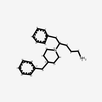 NCCCC(Cc1ccccc1)N1CCC(Cc2ccccc2)CC1